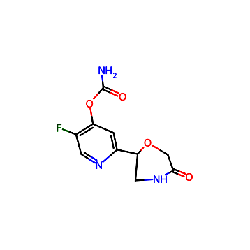 NC(=O)Oc1cc(C2CNC(=O)CO2)ncc1F